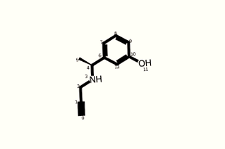 C#CCN[C@@H](C)c1cccc(O)c1